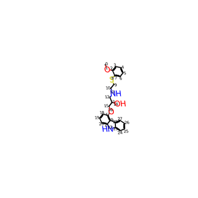 COc1ccccc1SCCNCC(O)COc1cccc2[nH]c3ccccc3c12